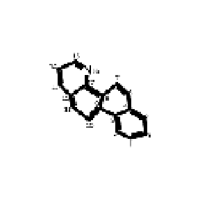 c1ccc2c(c1)ccc1c2ccc2cccnc21